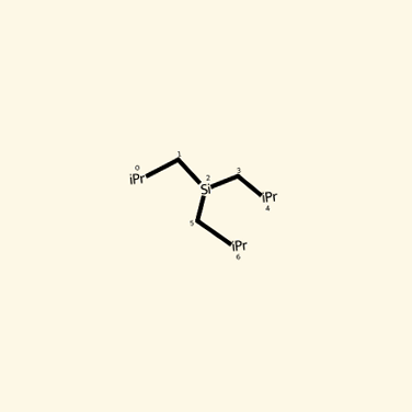 CC(C)C[Si](CC(C)C)CC(C)C